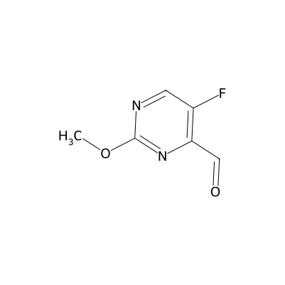 COc1ncc(F)c(C=O)n1